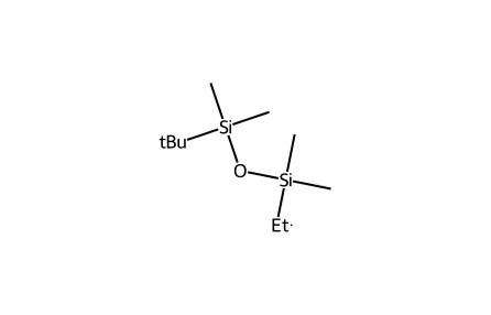 C[CH][Si](C)(C)O[Si](C)(C)C(C)(C)C